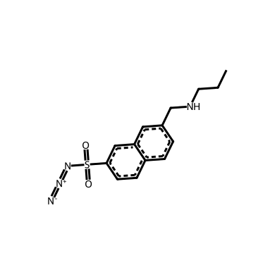 CCCNCc1ccc2ccc(S(=O)(=O)N=[N+]=[N-])cc2c1